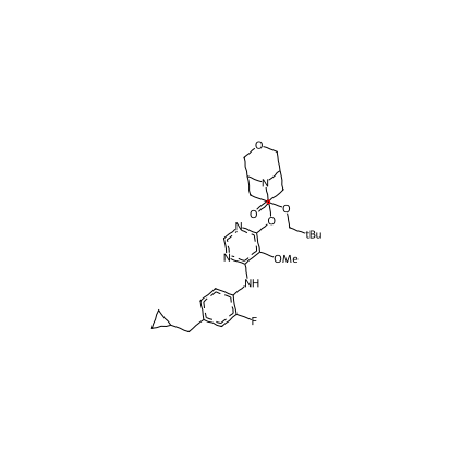 COc1c(Nc2ccc(CC3CC3)cc2F)ncnc1OC1CC2COCC(C1)N2C(=O)OCC(C)(C)C